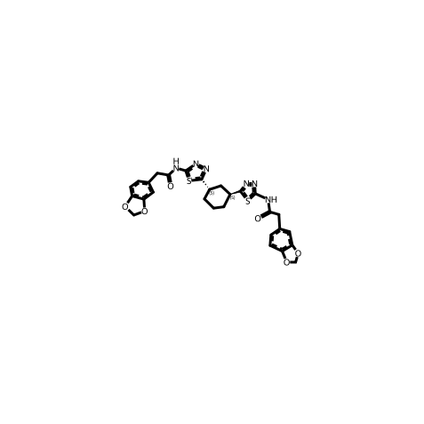 O=C(Cc1ccc2c(c1)OCO2)Nc1nnc([C@H]2CCC[C@H](c3nnc(NC(=O)Cc4ccc5c(c4)OCO5)s3)C2)s1